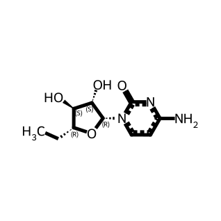 CC[C@H]1O[C@@H](n2ccc(N)nc2=O)[C@@H](O)[C@@H]1O